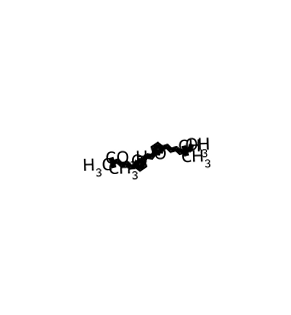 CC(C)(CO)CCCCc1ccc(C=Cc2ccc(CCCCC(C)(C)C(=O)O)o2)o1